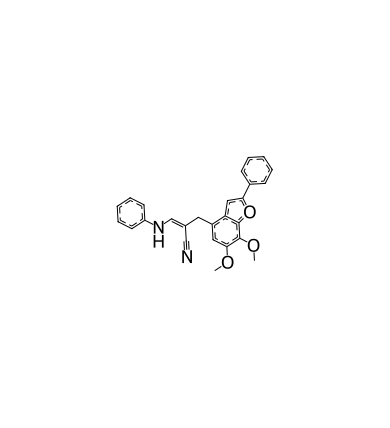 COc1cc(CC(C#N)=CNc2ccccc2)c2cc(-c3ccccc3)oc2c1OC